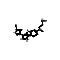 COCCN(C)c1ccc2c(c1)oc1c(-c3csc(Br)c3)n[nH]c12